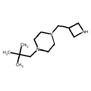 CC(C)(C)CN1CCN(CC2CNC2)CC1